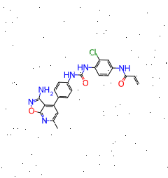 C=CC(=O)Nc1ccc(NC(=O)Nc2ccc(-c3cc(C)nc4onc(N)c34)cc2)c(Cl)c1